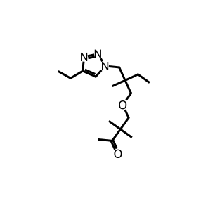 CCc1cn(CC(C)(CC)COCC(C)(C)C(C)=O)nn1